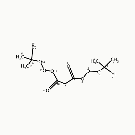 CCC(C)(C)OOOC(=O)CC(=O)OOOC(C)(C)CC